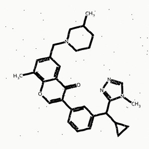 Cc1cc(CN2CCCC(C)C2)cc2c(=O)c(-c3cccc(C(c4nncn4C)C4CC4)c3)coc12